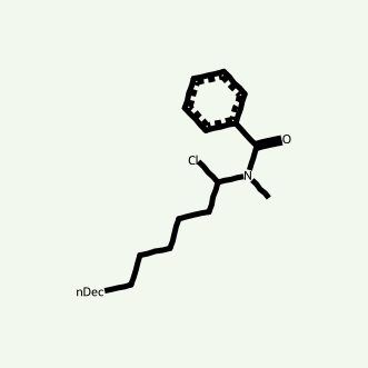 CCCCCCCCCCCCCCCC(Cl)N(C)C(=O)c1ccccc1